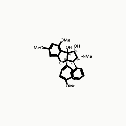 CN[C@H]1[C@@H](O)[C@@]2(O)c3c(OC)cc(OC)cc3O[C@@]2(c2ccc(OC)cc2)[C@@H]1c1ccccc1